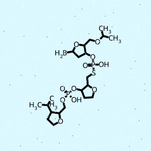 BC1CC(OP(=O)(O)SCC2OCCC2OP(=O)(O)OCC2OCCC2C(C)C)C(COC(C)C)O1